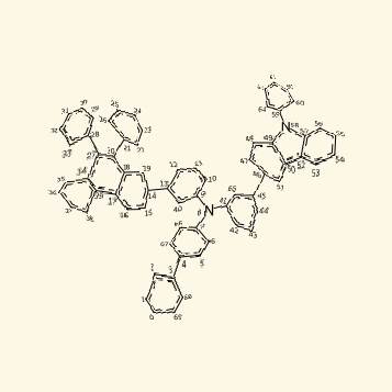 c1ccc(-c2ccc(N(c3cccc(-c4ccc5c(c4)c(-c4ccccc4)c(-c4ccccc4)c4ccccc45)c3)c3cccc(-c4ccc5c(c4)c4ccccc4n5-c4ccccc4)c3)cc2)cc1